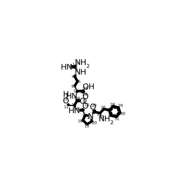 N=C(N)NCCC[C@H](NC(=O)[C@H](CO)NC(=O)[C@@H]1CCCN1C(=O)[C@@H](N)Cc1ccccc1)C(=O)O